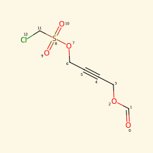 O=COCC#CCOS(=O)(=O)CCl